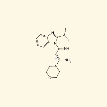 N=C(/C=C(\N)N1CCOCC1)n1c(C(F)F)nc2ccccc21